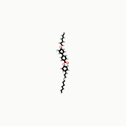 CCCCCCCCCCCc1ccc(OC(=O)c2ccc(-c3ccc(OCCCCCCC)c(F)c3)cc2)c(F)c1